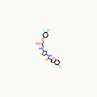 O=C(NC1CCC(NC[C@@H](O)COc2ccc(Cl)c(F)c2)C1)c1cc2cc(Cl)ccc2o1